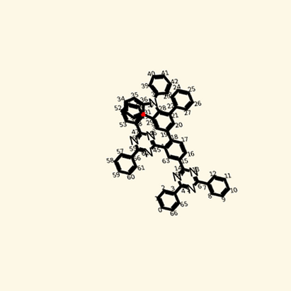 c1ccc(-c2nc(-c3ccccc3)nc(-c3ccc(-c4cc(-c5ccccc5)c5c(c4)c4ccccc4n5-c4ccccc4)c(-c4nc(-c5ccccc5)nc(-c5ccccc5)n4)c3)n2)cc1